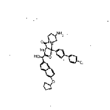 NC1CCN(C(=O)C(NC(=O)C(O)c2ccc3cc(OC4CCCC4)ccc3c2)C(F)(F)c2ccc(-c3ccc(Cl)cc3)cc2)CC1